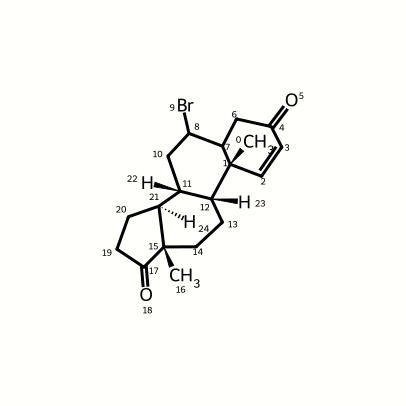 C[C@]12C=CC(=O)CC1C(Br)C[C@@H]1[C@H]2CC[C@]2(C)C(=O)CC[C@@H]12